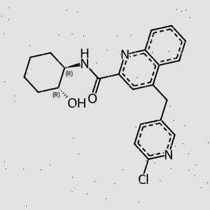 O=C(N[C@@H]1CCCC[C@H]1O)c1cc(Cc2ccc(Cl)nc2)c2ccccc2n1